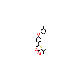 C=C(SC(C(=O)O)=C(C)C)c1ccc(Oc2cccc(C)c2)cc1